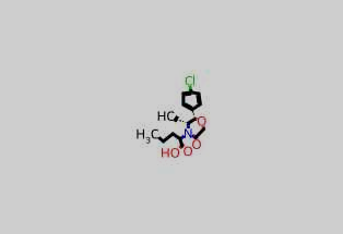 C#C[C@@H]1[C@H](c2ccc(Cl)cc2)OCC(=O)N1C(CCC)C(=O)O